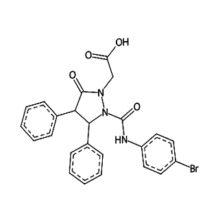 O=C(O)CN1C(=O)C(c2ccccc2)C(c2ccccc2)N1C(=O)Nc1ccc(Br)cc1